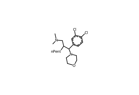 CCCCCC(CN(C)C)C(c1ccc(Cl)c(Cl)c1)N1CCOCC1